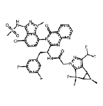 C[C@@H]1C2c3c(C(F)F)nn(CC(=O)N[C@@H](Cc4cc(F)cc(F)c4)c4nc5ncccc5c(=O)n4-c4ccc(Cl)c5c(NS(C)(=O)=O)nn(C)c45)c3C(F)(F)C21